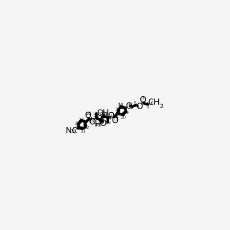 C=CC(=O)OCCOc1ccc(C(=O)O[C@H]2CO[C@H]3[C@@H]2OC[C@H]3OC(=O)c2ccc(C#N)cc2)cc1